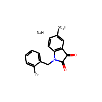 CC(C)c1ccccc1CN1C(=O)C(=O)c2cc(S(=O)(=O)O)ccc21.[NaH]